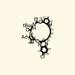 CC(=O)[C@@H]1[C@H](C)[C@@H]2CN1C(=O)[C@H](C(C)(C)C)NC(=O)O[C@]1(C)CCC[C@H]1CCCCCc1nc3ccc(Cl)cc3nc1O2